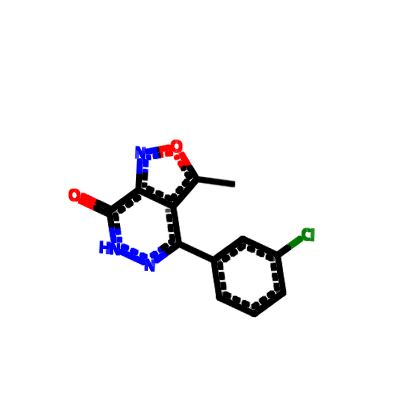 Cc1onc2c(=O)[nH]nc(-c3cccc(Cl)c3)c12